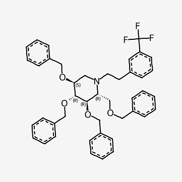 FC(F)(F)c1cccc(CCN2C[C@H](OCc3ccccc3)[C@@H](OCc3ccccc3)[C@H](OCc3ccccc3)[C@H]2COCc2ccccc2)c1